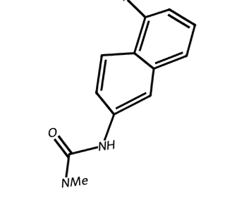 [CH2]c1cccc2cc(NC(=O)NC)ccc12